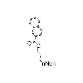 CCCCCCCCCCCCOC(=O)c1ccc2ccccc2c1